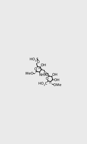 COC[C@@H]1OC(COS(=O)(=O)O)[C@H](O)[C@@H](COC[C@@H]2OC(C(=O)O)[C@@H](COC)[C@@H](O)C2O)C1NC(C)=O